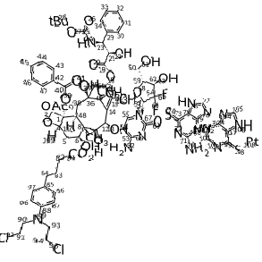 CC(=O)O[C@@]12CO[C@@H]1C[C@H](O)[C@@]1(C)C(=O)[C@H](O)C3=C(C)[C@@H](OC(=O)[C@H](O)[C@@H](NC(=O)OC(C)(C)C)c4ccccc4)C[C@@](O)([C@@H](OC(=O)c4ccccc4)[C@H]21)C3(C)C.Nc1ccn([C@@H]2O[C@H](CO)[C@@H](O)C2(F)F)c(=O)n1.Nc1nc(=S)c2[nH]cnc2[nH]1.O=C(O)CCCc1ccc(N(CCCl)CCCl)cc1.S=c1nc[nH]c2nc[nH]c12.[Pt]